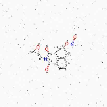 O=NOc1cc2c3c(cccc3c1)C(=O)N(CC1CO1)C2=O